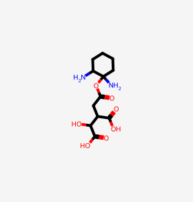 NC1CCCCC1(N)OC(=O)CC(C(=O)O)C(O)C(=O)O